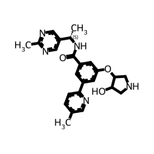 Cc1ccc(-c2cc(OC3CNCC3O)cc(C(=O)N[C@@H](C)c3cnc(C)nc3)c2)nc1